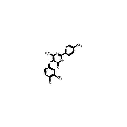 Nc1ccc(-c2nc(C(F)(F)F)c(Oc3ccc(Cl)c(C(F)(F)F)c3)c(=O)[nH]2)nc1